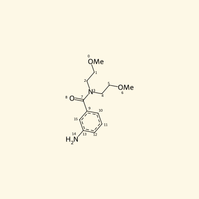 COCCN(CCOC)C(=O)c1cccc(N)c1